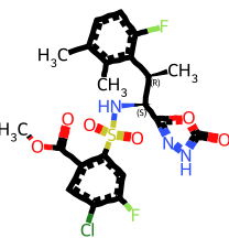 COC(=O)c1cc(Cl)c(F)cc1S(=O)(=O)N[C@H](c1n[nH]c(=O)o1)[C@H](C)c1c(F)ccc(C)c1C